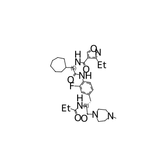 CCC(=O)N[C@H](Cc1ccc(NC(=O)[C@@H](NC(=O)c2conc2CC)C2CCCCCC2)c(F)c1)C(=O)N1CCN(C)CC1